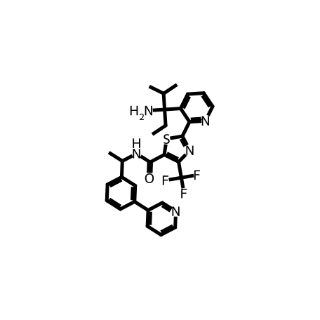 CCC(N)(c1cccnc1-c1nc(C(F)(F)F)c(C(=O)NC(C)c2cccc(-c3cccnc3)c2)s1)C(C)C